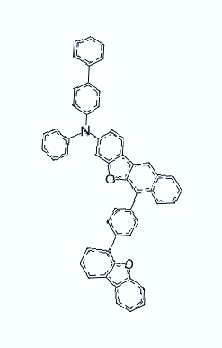 c1ccc(-c2ccc(N(c3ccccc3)c3ccc4c(c3)oc3c(-c5ccc(-c6cccc7c6oc6ccccc67)cc5)c5ccccc5cc34)cc2)cc1